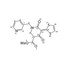 COC(=O)C1CN(Cc2cccnc2)C(=O)C(=C2SC=CS2)C1=O